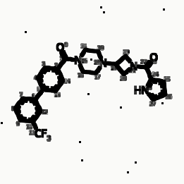 O=C(c1ccc(-c2cccc(C(F)(F)F)c2)cc1)N1CCN(C2CN(C(=O)c3ccc[nH]3)C2)CC1